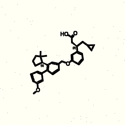 COc1cccc(-c2ccc(COc3cccc([C@@H](CC(=O)O)CC4CC4)c3)cc2[C@H]2CCCC2(C)C)c1